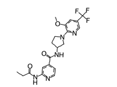 CCC(=O)Nc1cc(C(=O)NC2CCN(c3ncc(C(F)(F)F)cc3OC)C2)ccn1